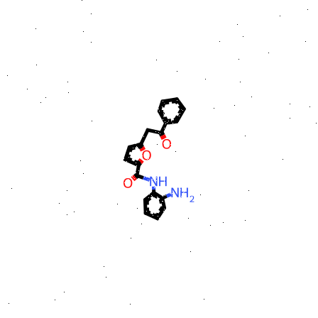 Nc1ccccc1NC(=O)c1ccc(CC(=O)c2ccccc2)o1